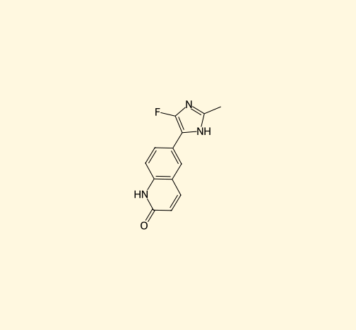 Cc1nc(F)c(-c2ccc3[nH]c(=O)ccc3c2)[nH]1